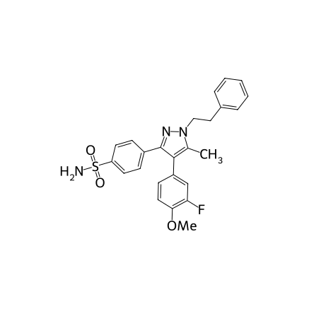 COc1ccc(-c2c(-c3ccc(S(N)(=O)=O)cc3)nn(CCc3ccccc3)c2C)cc1F